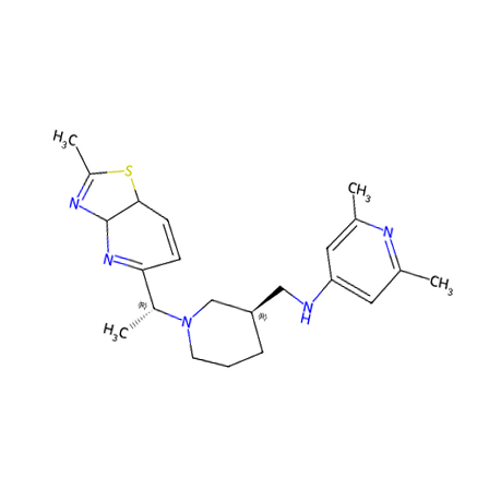 CC1=NC2N=C([C@@H](C)N3CCC[C@H](CNc4cc(C)nc(C)c4)C3)C=CC2S1